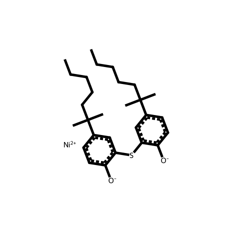 CCCCCC(C)(C)c1ccc([O-])c(Sc2cc(C(C)(C)CCCCC)ccc2[O-])c1.[Ni+2]